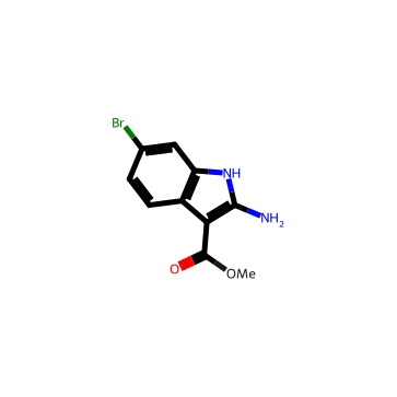 COC(=O)c1c(N)[nH]c2cc(Br)ccc12